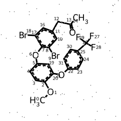 COc1ccc(Oc2c(Br)cc(CC(C)=O)cc2Br)cc1Oc1ccc(C(F)(F)F)cc1